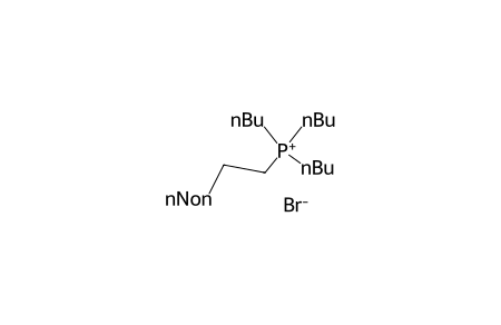 CCCCCCCCCCC[P+](CCCC)(CCCC)CCCC.[Br-]